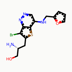 N[C@@H](CO)Cc1sc2c(NCc3ccco3)cnnc2c1Br